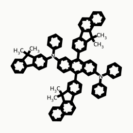 CC1(C)c2ccccc2-c2ccc(N(c3ccccc3)c3ccc4c(-c5ccc6c(c5)C(C)(C)c5c-6ccc6ccccc56)c5cc(N(c6ccccc6)c6ccccc6)ccc5c(-c5ccc6c(c5)C(C)(C)c5c-6ccc6ccccc56)c4c3)cc21